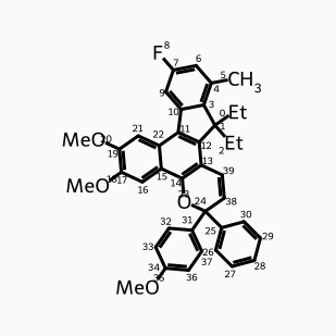 CCC1(CC)c2c(C)cc(F)cc2-c2c1c1c(c3cc(OC)c(OC)cc23)OC(c2ccccc2)(c2ccc(OC)cc2)C=C1